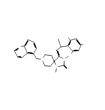 CCN1C(=O)N2Cc3cc(OC)cc(OC)c3C(C)C=C2C12CCN(Cc1cccc3ncccc13)CC2